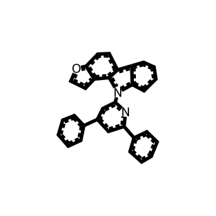 c1ccc(-c2cc(-c3ccccc3)nc(-n3c4ccccc4c4ccc5occc5c43)c2)cc1